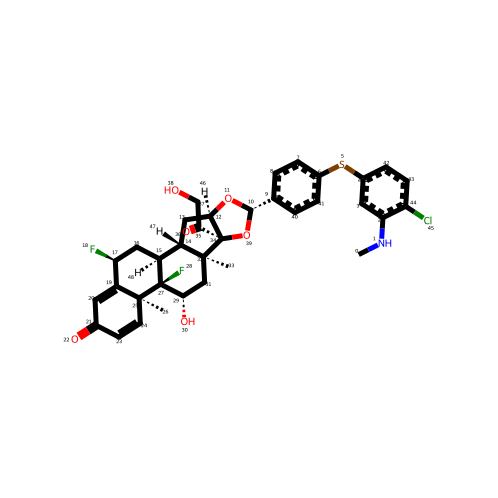 CNc1cc(Sc2ccc([C@H]3O[C@@H]4C[C@H]5[C@@H]6C[C@H](F)C7=CC(=O)C=C[C@]7(C)[C@@]6(F)[C@@H](O)C[C@]5(C)[C@]4(C(=O)CO)O3)cc2)ccc1Cl